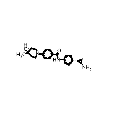 CC1(C)CCN(c2ccc(C(=O)Nc3ccc([C@@H]4C[C@H]4N)cc3)cc2)CC1